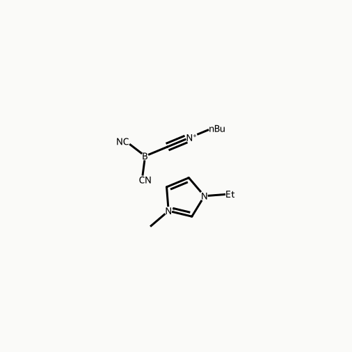 CCCC[N+]#CB(C#N)C#N.CCn1cc[n+](C)c1